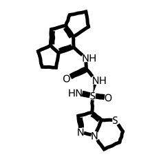 N=[S@@](=O)(NC(=O)Nc1c2c(cc3c1CCC3)CCC2)c1cnn2c1SCCC2